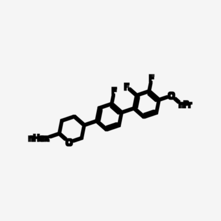 CCCCCCC1CCC(c2ccc(-c3ccc(OCCC)c(F)c3F)c(F)c2)CO1